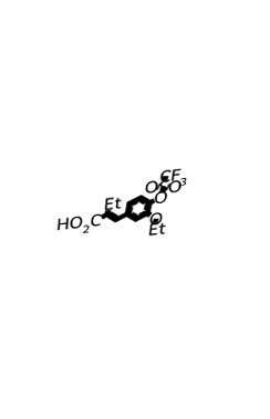 CCOc1cc(/C=C(\CC)C(=O)O)ccc1OS(=O)(=O)C(F)(F)F